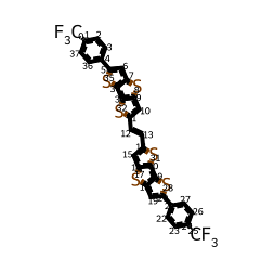 FC(F)(F)c1ccc(-c2cc3sc4cc(/C=C/c5cc6sc7cc(-c8ccc(C(F)(F)F)cc8)sc7c6s5)sc4c3s2)cc1